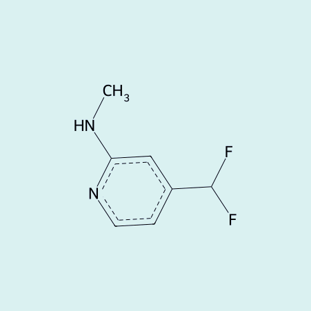 CNc1cc(C(F)F)ccn1